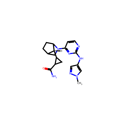 Cn1cc(Nc2nccc(N3CC4CCC3[C@@H]4C3CC3C(N)=O)n2)cn1